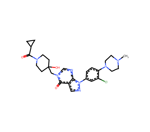 CN1CCN(c2ccc(-n3ncc4c(=O)n(CC5(O)CCN(C(=O)C6CC6)CC5)cnc43)cc2Cl)CC1